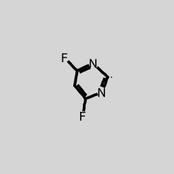 Fc1cc(F)n[c]n1